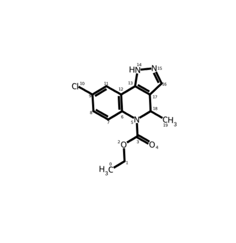 CCOC(=O)N1c2ccc(Cl)cc2-c2[nH]ncc2C1C